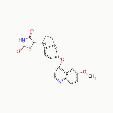 COc1ccc2nccc(Oc3ccc4c(c3)CC[C@H]4C3SC(=O)NC3=O)c2c1